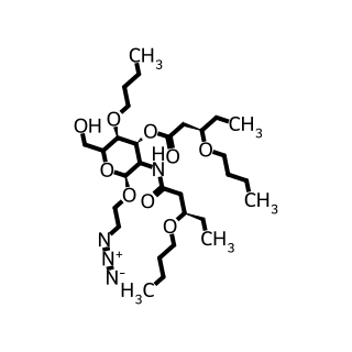 CCCCO[C@H](CC)CC(=O)NC1[C@@H](OCCN=[N+]=[N-])OC(CO)[C@@H](OCCCC)[C@@H]1OC(=O)C[C@@H](CC)OCCCC